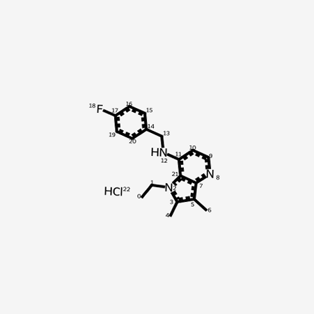 CCn1c(C)c(C)c2nccc(NCc3ccc(F)cc3)c21.Cl